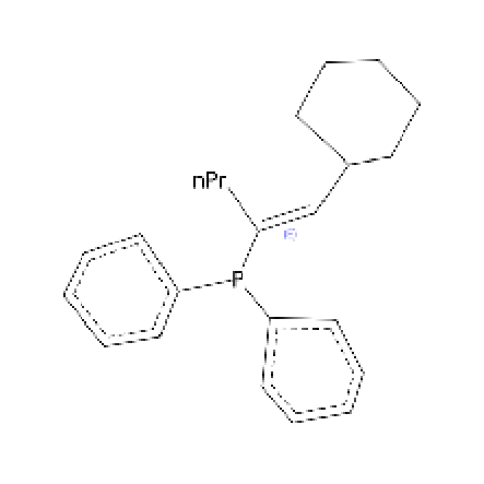 CCC/C(=C\C1CCCCC1)P(c1ccccc1)c1ccccc1